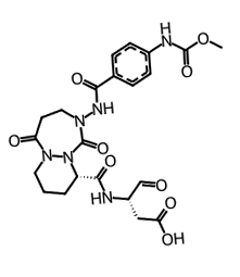 COC(=O)Nc1ccc(C(=O)NN2CCC(=O)N3CCC[C@@H](C(=O)N[C@H](C=O)CC(=O)O)N3C2=O)cc1